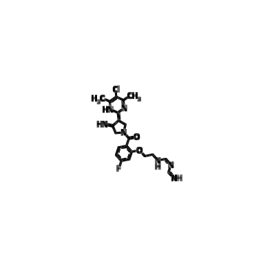 CC1=N/C(=C2\CN(C(=O)c3ccc(F)cc3OCCN/C=N\C=N)CC2=N)NC(C)=C1Cl